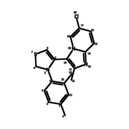 Cc1ccc(N2CSC=C2c2c(C)nc3ccc(Cl)cn23)c(C)c1